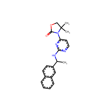 CC(Nc1nccc(N2C(=O)OCC2(C)C)n1)c1ccc2ccccc2c1